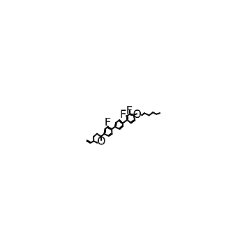 C=CC1CCC(c2ccc(-c3ccc(-c4ccc(OCCCCCC)c(F)c4F)cc3)c(F)c2)OC1